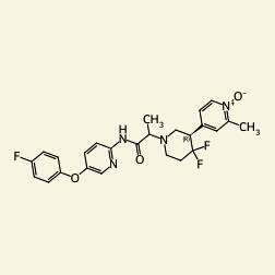 Cc1cc([C@@H]2CN(C(C)C(=O)Nc3ccc(Oc4ccc(F)cc4)cn3)CCC2(F)F)cc[n+]1[O-]